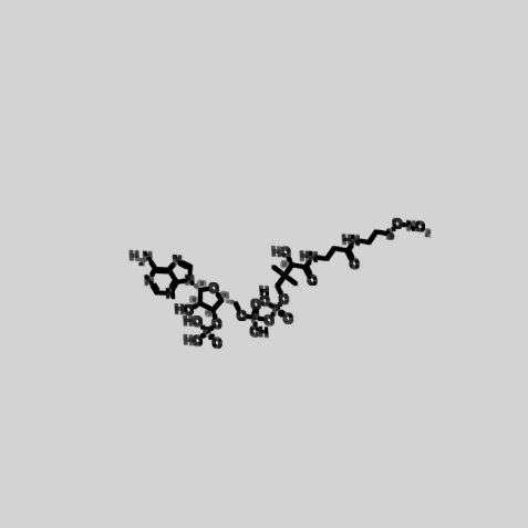 CC(C)(COP(=O)(O)OP(=O)(O)OC[C@H]1O[C@@H](n2cnc3c(N)ncnc32)[C@H](O)[C@@H]1OP(=O)(O)O)[C@@H](O)C(=O)NCCC(=O)NCCSO[N+](=O)[O-]